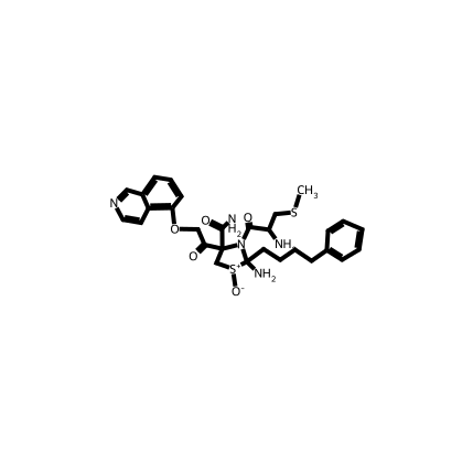 CSCC(N)C(=O)N1C(C(N)=O)(C(=O)COc2cccc3cnccc23)C[S+]([O-])C1(N)CCCCc1ccccc1